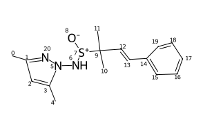 Cc1cc(C)n(N[S+]([O-])C(C)(C)C=Cc2ccccc2)n1